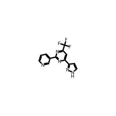 FC(F)(F)c1cc(-c2cc[nH]n2)nc(-c2cccnc2)n1